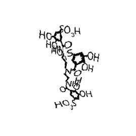 O=C(NCCCCN(CCCNC(=O)c1cc(S(=O)(=O)O)cc(O)c1O)C(=O)c1cc(S(=O)(=O)O)cc(O)c1O)c1cc(S(=O)(=O)O)cc(O)c1O